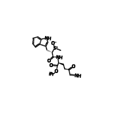 CC(C)OC(=O)[C@H](CCC(=O)C=N)NC(=O)[C@H](Cc1c[nH]c2ccccc12)[S+](C)[O-]